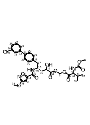 COC(=O)N[C@H](C(=O)OCOC(=O)C(O)C[C@@H](Cc1ccc(-c2cccc(Cl)c2)cc1)NC(=O)c1cc(OC)no1)C(C)C